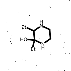 CCC1NCCNC1(O)CC